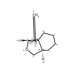 C=C1C[C@@H]2OC[C@@H]3CCCCC32O1